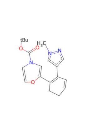 Cn1cc(C2=C(C3=CN(C(=O)OC(C)(C)C)C=CO3)CCC=C2)cn1